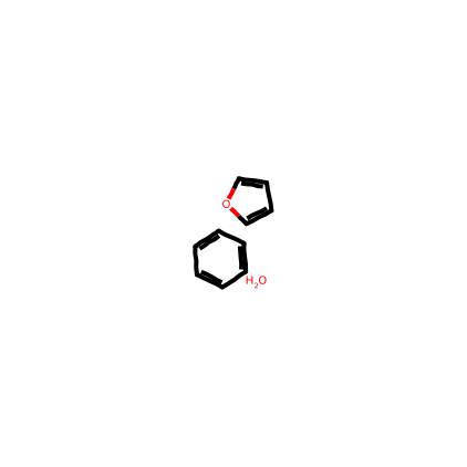 O.c1ccccc1.c1ccoc1